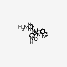 Nc1nccc(-n2cc(Nc3cccc4scnc34)c3c2CCNC3=O)n1